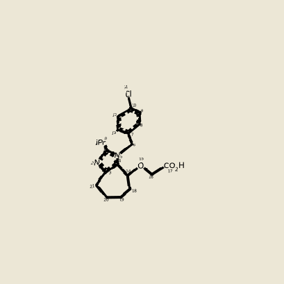 CC(C)c1nc2c(n1Cc1ccc(Cl)cc1)C(OCC(=O)O)CCCC2